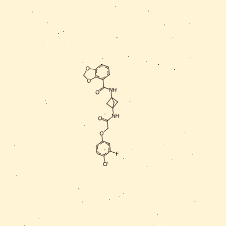 O=C(COc1ccc(Cl)c(F)c1)NC12CC(NC(=O)c3cccc4c3OCO4)(C1)C2